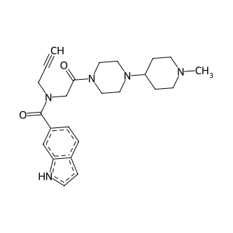 C#CCN(CC(=O)N1CCN(C2CCN(C)CC2)CC1)C(=O)c1ccc2cc[nH]c2c1